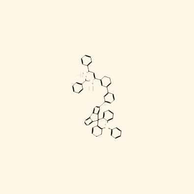 C1=CC2=C(CC1)N(c1ccccc1)c1ccccc1C21c2ccccc2-c2ccc(-c3cccc(C4=CCCC(C5=CC(c6ccccc6)NC(c6ccccc6)N5)=C4)c3)cc21